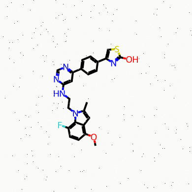 COc1ccc(F)c2c1cc(C)n2CCNc1cc(-c2ccc(-c3csc(O)n3)cc2)ncn1